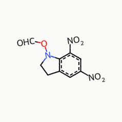 O=CON1CCc2cc([N+](=O)[O-])cc([N+](=O)[O-])c21